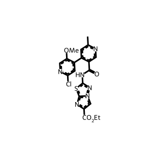 CCOC(=O)c1cn2nc(NC(=O)c3cnc(C)cc3-c3cc(Cl)ncc3OC)sc2n1